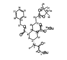 CN(C(=O)OC(C)(C)C)[C@@H]1C[C@H](C(=O)OCc2ccccc2)C(CCCB2OC(C)(C)C(C)(C)O2)N(C(=O)OC(C)(C)C)C1